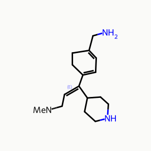 CNC/C=C(/C1=CC=C(CN)CC1)C1CCNCC1